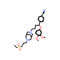 CCS(=O)(=O)CCCN1CC2CC(CN(CCCC(Oc3ccc(OC)c(OC)c3)c3ccc(C#N)cc3)C2)C1